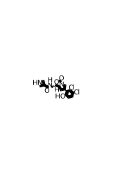 O=C(NC[C@@H]1OC(=O)N2C[C@@H](c3c(O)ccc(Cl)c3Cl)C[C@@H]12)C1CNC1